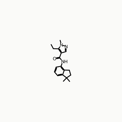 CCc1c(C(=O)Nc2cccc3c2CCC3(C)C)cnn1C